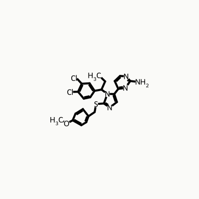 CCC(c1ccc(Cl)c(Cl)c1)n1c(-c2ccnc(N)n2)cnc1SCc1ccc(OC)cc1